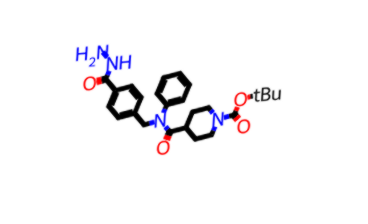 CC(C)(C)OC(=O)N1CCC(C(=O)N(Cc2ccc(C(=O)NN)cc2)c2ccccc2)CC1